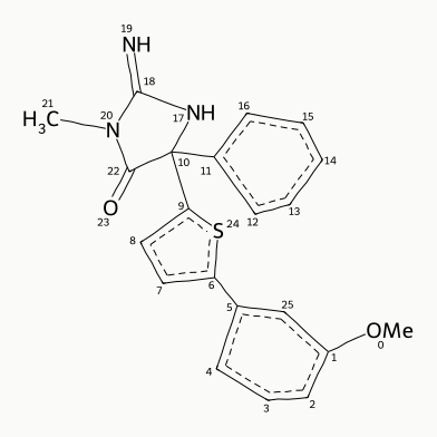 COc1cccc(-c2ccc(C3(c4ccccc4)NC(=N)N(C)C3=O)s2)c1